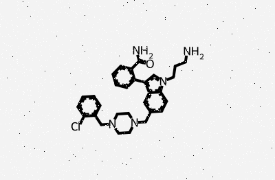 NCCCn1cc(-c2ccccc2C(N)=O)c2cc(CN3CCN(Cc4ccccc4Cl)CC3)ccc21